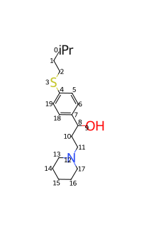 CC(C)CCSc1ccc(C(O)CCN2CCCCC2)cc1